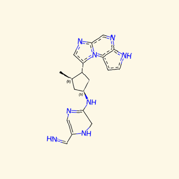 C[C@@H]1C[C@H](NC2=NC=C(C=N)NC2)CC1c1cnc2cnc3[nH]ccc3n12